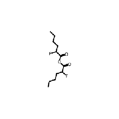 CCCCC(F)C(=O)OC(=O)C(F)CCCC